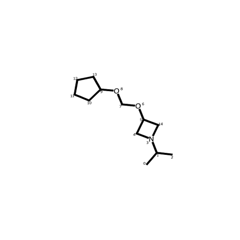 CC(C)N1CC(OCOC2CCCC2)C1